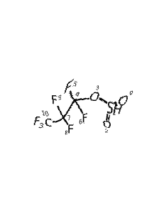 O=[SH](=O)OC(F)(F)C(F)(F)C(F)(F)F